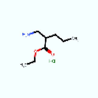 CCCC(CN)C(=O)OCC.Cl